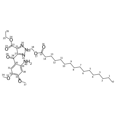 CCCCCCCCCCCCCCCC(=O)OCn1nc(C(=O)OCC)c(C(=O)c2cc(OC)c(OC)cc2N)n1